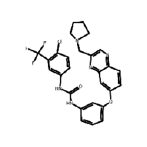 O=C(Nc1cccc(Oc2ccc3ncc(CN4CCCC4)nc3c2)c1)Nc1ccc(Cl)c(C(F)(F)F)c1